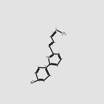 C/N=C\C=C\c1cccc(-c2ccc(Br)cc2)n1